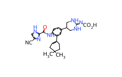 CC1(C)CC=C(c2cc(C3CNC(=NC(=O)O)NC3)ccc2NC(=O)c2nc(C#N)c[nH]2)CC1